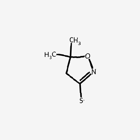 CC1(C)CC([S])=NO1